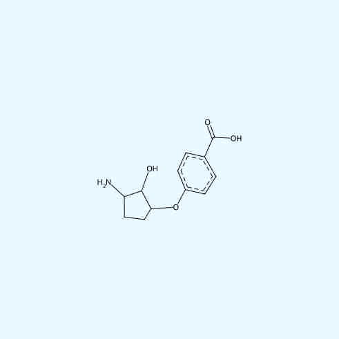 NC1CCC(Oc2ccc(C(=O)O)cc2)C1O